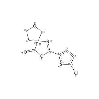 O=C1OC(c2ccc(Cl)s2)=N[C@@]12CCOC2